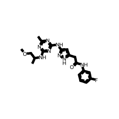 COCC(C)Nc1nc(C)nc(Nc2cc(CC(=O)Nc3cccc(F)c3)[nH]n2)n1